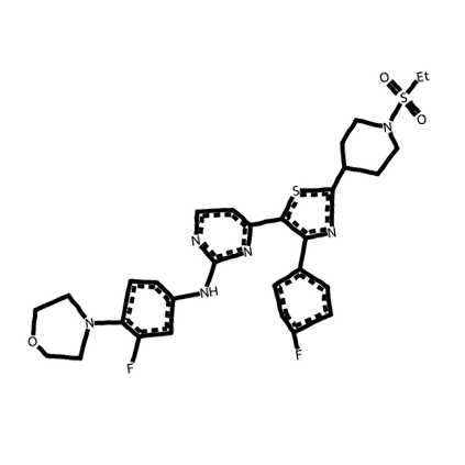 CCS(=O)(=O)N1CCC(c2nc(-c3ccc(F)cc3)c(-c3ccnc(Nc4ccc(N5CCOCC5)c(F)c4)n3)s2)CC1